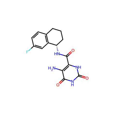 Nc1c(C(=O)N[C@H]2CCCc3ccc(F)cc32)[nH]c(=O)[nH]c1=O